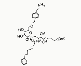 CCCCCCCCCCCCCC[C@@H](O)[C@@H](O)[C@H](CC[C@H]1OC(COCCc2ccc(CCN)cc2)[C@H](O)[C@H](O)C1O)NC(=O)CCCCCCc1ccccc1